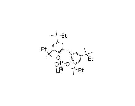 CCC(C)(C)c1cc2c(c(C(C)(C)CC)c1)OP(=O)([O-])Oc1c(cc(C(C)(C)CC)cc1C(C)(C)CC)C2.[Li+]